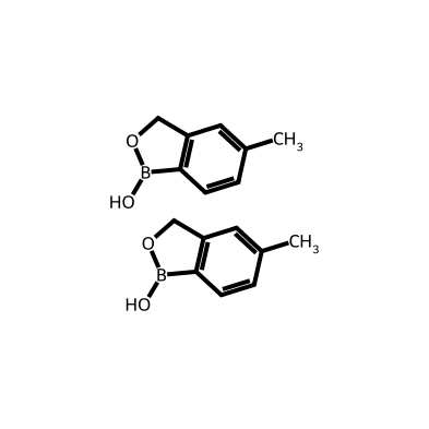 Cc1ccc2c(c1)COB2O.Cc1ccc2c(c1)COB2O